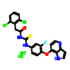 Cl.Cl.O=C(Cc1c(Cl)cccc1Cl)NC(=S)Nc1ccc(Oc2ccnc3cc[nH]c23)c(F)c1